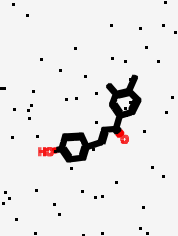 Cc1ccc(C(=O)C=Cc2ccc(O)cc2)cc1C